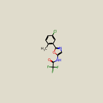 Cc1ccc(Cl)cc1-c1ncc(NC(=O)C(F)(F)F)o1